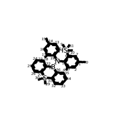 Cc1cc(C)c2c(c1)[SH](C)(C)(C)c1cc(C)cc(C)c1N2B1c2ccccc2S(C)(C)c2ccccc21